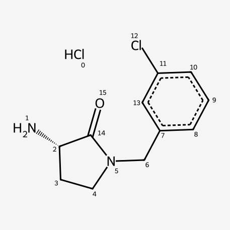 Cl.N[C@H]1CCN(Cc2cccc(Cl)c2)C1=O